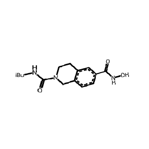 CCC(C)NC(=O)N1CCc2cc(C(=O)NO)ccc2C1